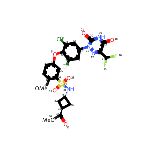 COc1ccc(Oc2c(Cl)cc(-n3nc(C(F)F)c(=O)[nH]c3=O)cc2Cl)cc1S(=O)(=O)N[C@H]1C[C@H](C(=O)OC)C1